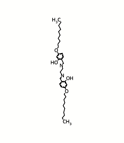 CCCCCCCCCCOc1ccc(C=NCCN=Cc2ccc(OCCCCCCCCCC)cc2O)c(O)c1